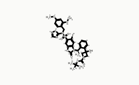 COc1ccc(CN(c2ncns2)S(=O)(=O)c2cc3oc(=O)n([C@H](C)c4ccccc4C4(O)CN(C(=O)OC(C)(C)C)C4)c3cc2F)c(OC)c1